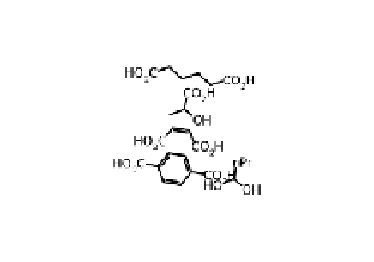 CC(O)C(=O)O.CCCC(O)O.O=C(O)/C=C\C(=O)O.O=C(O)CCCCC(=O)O.O=C(O)c1ccc(C(=O)O)cc1